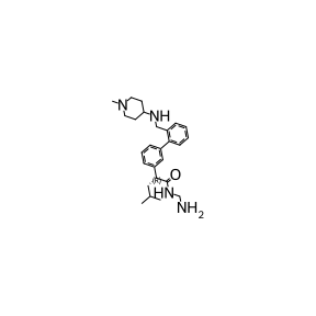 CC(C)C[C@@H](C(=O)NCN)c1cccc(-c2ccccc2CNC2CCN(C)CC2)c1